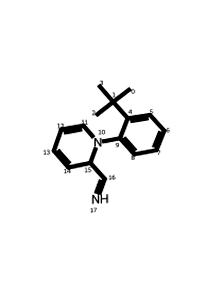 CC(C)(C)c1ccccc1N1C=CC=CC1C=N